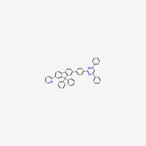 c1ccc(-c2cc(-c3ccccc3)nc(-c3ccc(-c4ccc5c(c4)C(c4ccccc4)(c4ccccc4)c4cc(-c6ccccn6)ccc4-5)cc3)n2)cc1